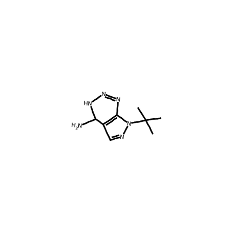 CC(C)(C)n1ncc2c1N=NNC2N